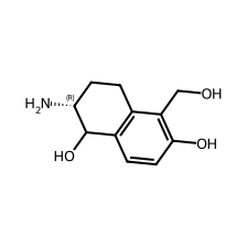 N[C@@H]1CCc2c(ccc(O)c2CO)C1O